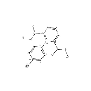 CCC(C)c1cccc(C(C)CC)c1-c1ccc(O)cc1